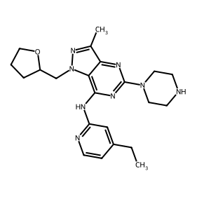 CCc1ccnc(Nc2nc(N3CCNCC3)nc3c(C)nn(CC4CCCO4)c23)c1